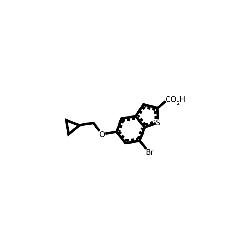 O=C(O)c1cc2cc(OCC3CC3)cc(Br)c2s1